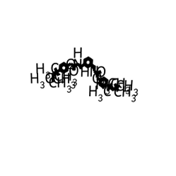 CC(C)(C)CC(C)(C)c1ccc(OC(=O)NCc2cccc(CNC(=O)Oc3ccc(C(C)(C)CC(C)(C)C)cc3)c2)cc1